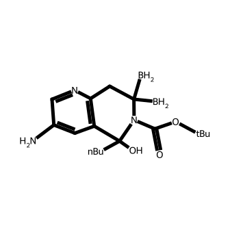 BC1(B)Cc2ncc(N)cc2C(O)(CCCC)N1C(=O)OC(C)(C)C